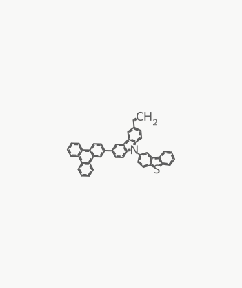 C=Cc1ccc2c(c1)c1cc(-c3ccc4c5ccccc5c5ccccc5c4c3)ccc1n2-c1ccc2sc3ccccc3c2c1